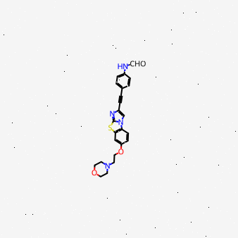 O=CNc1ccc(C#Cc2cn3c(n2)sc2cc(OCCN4CCOCC4)ccc23)cc1